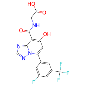 O=C(O)CNC(=O)c1c(O)cc(-c2cc(F)cc(C(F)(F)F)c2)n2ncnc12